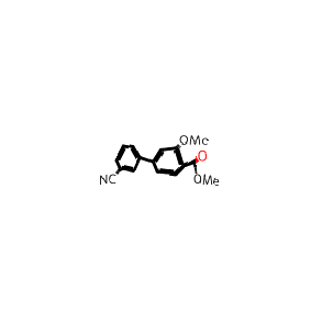 COC(=O)c1ccc(-c2cccc(C#N)c2)cc1OC